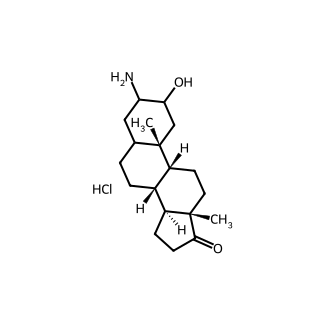 C[C@]12CC(O)C(N)CC1CC[C@@H]1[C@H]2CC[C@]2(C)C(=O)CC[C@@H]12.Cl